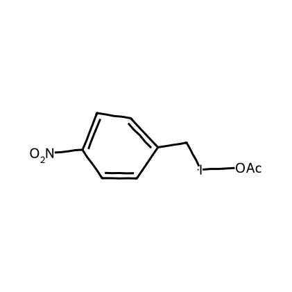 CC(=O)O[I]Cc1ccc([N+](=O)[O-])cc1